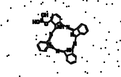 OB(O)Oc1cccc2c3nc4nc(nc5[nH]c(nc6nc(nc([nH]3)c12)-c1ccccc1-6)c1ccccc51)-c1ccccc1-4